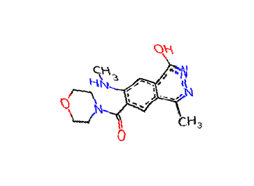 CNc1cc2c(O)nnc(C)c2cc1C(=O)N1CCOCC1